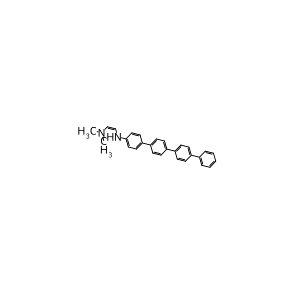 CN(C)/C=C\Nc1ccc(-c2ccc(-c3ccc(-c4ccccc4)cc3)cc2)cc1